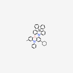 Cc1ccc2c(c1)N(c1ccccc1)c1cc(C3CCCCC3)cc3c1B2c1cccc2c1N3c1ccccc1[Si]2(c1ccccc1)c1ccccc1